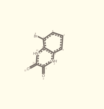 O=c1[nH]c2cccc(Br)c2[nH]c1=O